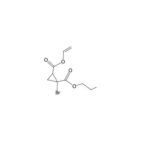 C=COC(=O)C1CC1(Br)C(=O)OCCC